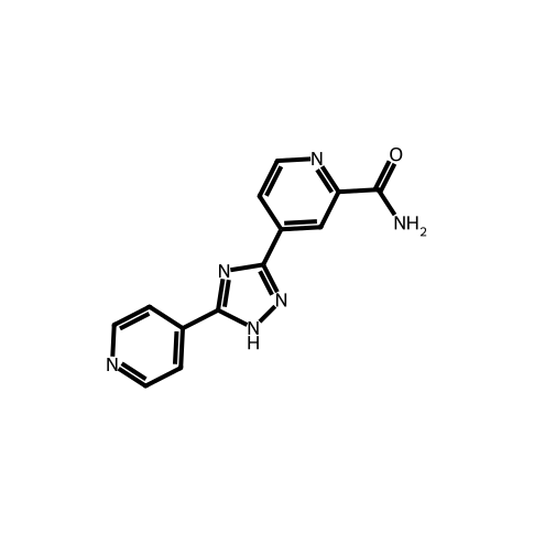 NC(=O)c1cc(-c2n[nH]c(-c3ccncc3)n2)ccn1